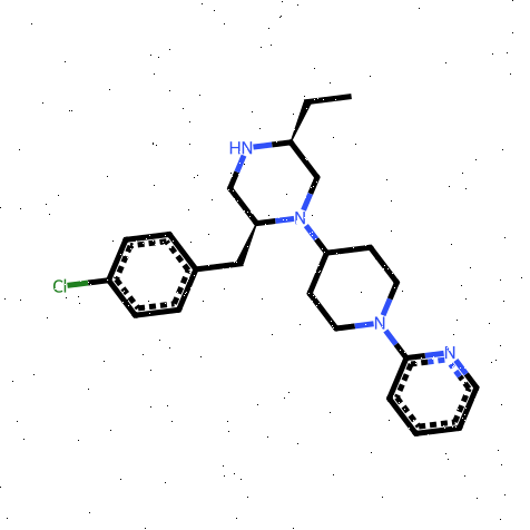 CC[C@H]1CN(C2CCN(c3ccccn3)CC2)[C@@H](Cc2ccc(Cl)cc2)CN1